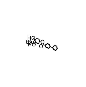 CC(C)(C)C1(O)CC=C(OC(=O)c2ccc(-c3ccccc3)cc2)C=C1O